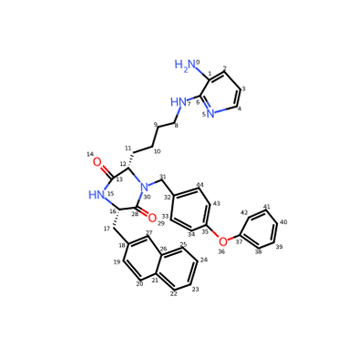 Nc1cccnc1NCCCC[C@H]1C(=O)N[C@@H](Cc2ccc3ccccc3c2)C(=O)N1Cc1ccc(Oc2ccccc2)cc1